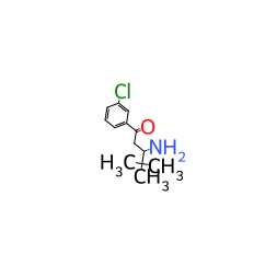 CC(C)(C)C(N)CC(=O)c1cccc(Cl)c1